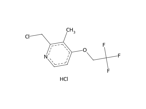 Cc1c(OCC(F)(F)F)ccnc1CCl.Cl